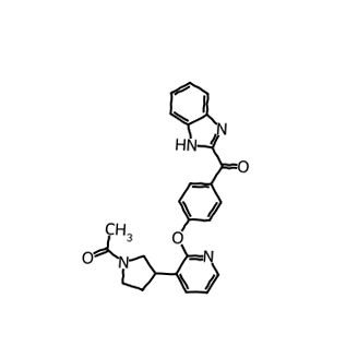 CC(=O)N1CCC(c2cccnc2Oc2ccc(C(=O)c3nc4ccccc4[nH]3)cc2)C1